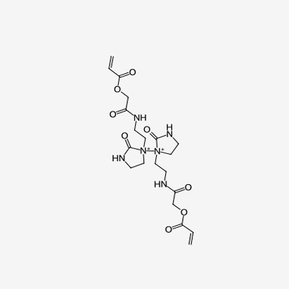 C=CC(=O)OCC(=O)NCC[N+]1([N+]2(CCNC(=O)COC(=O)C=C)CCNC2=O)CCNC1=O